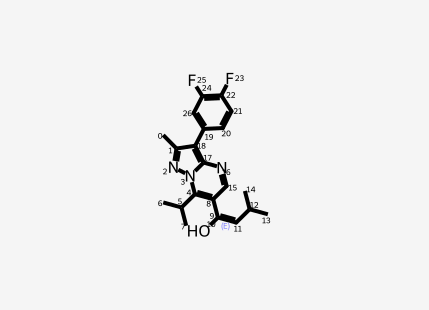 Cc1nn2c(C(C)C)c(/C(O)=C\C(C)C)cnc2c1-c1ccc(F)c(F)c1